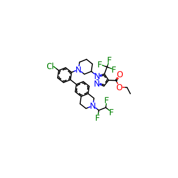 CCOC(=O)c1cnn(C2CCCN(c3cc(Cl)ccc3-c3ccc4c(c3)CCN(C(F)C(F)F)C4)C2)c1C(F)(F)F